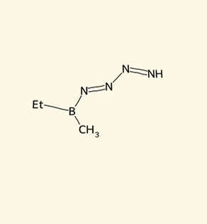 CCB(C)N=NN=N